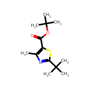 Cc1nc(C(C)(C)C)sc1C(=O)OC(C)(C)C